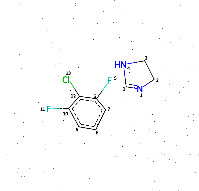 C1=NCCN1.Fc1cccc(F)c1Cl